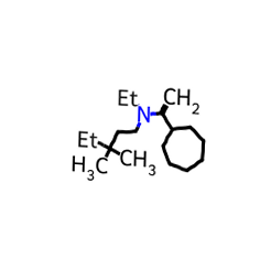 C=C(C1CCCCCC1)N(CC)CCC(C)(C)CC